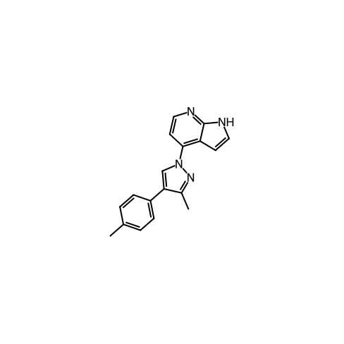 Cc1ccc(-c2cn(-c3ccnc4[nH]ccc34)nc2C)cc1